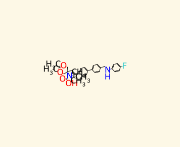 CC1(C)OCC(/C=C/c2ccc(-c3ccc(CNc4ccc(F)cc4)cc3)cc2)(N(C(=O)O)C(C)(C)C)CO1